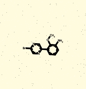 COc1c(N)cccc1-c1cnc(Br)cn1